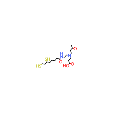 CC(=O)CCN(CCNC(=O)CCCCC(S)CCS)CCC(=O)O